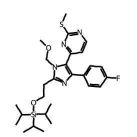 COCn1c(CCO[Si](C(C)C)(C(C)C)C(C)C)nc(-c2ccc(F)cc2)c1-c1ccnc(SC)n1